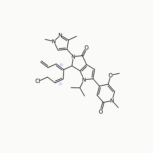 C=C/C=C(\C=C/CCl)C1c2c(cc(-c3cc(=O)n(C)cc3OC)n2C(C)C)C(=O)N1c1cn(C)nc1C